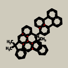 CC1(C)c2ccccc2-c2c(-c3ccccc3N(c3ccc(-c4cccc5cccc(-c6ccccc6)c45)cc3)c3ccccc3-c3cccc4c3C(C)(C)c3ccccc3-4)cccc21